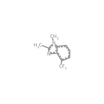 Cc1nc2c(C(F)(F)F)cccc2n1C